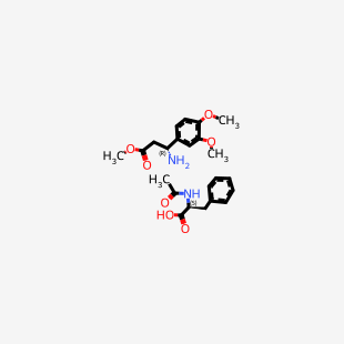 CC(=O)N[C@@H](Cc1ccccc1)C(=O)O.COC(=O)C[C@@H](N)c1ccc(OC)c(OC)c1